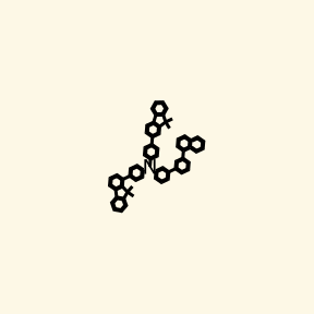 CC1(C)c2ccccc2-c2ccc(-c3ccc(N(c4ccc(-c5cccc6c5C(C)(C)c5ccccc5-6)cc4)c4cccc(-c5cccc(-c6cccc7ccccc67)c5)c4)cc3)cc21